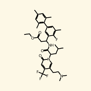 CCOC(=O)CC(NC(=O)C(CC(C)C)n1cc(CCN(C)C)c(C(F)(F)F)cc1=O)c1cc(-c2c(C)cc(C)cc2C)cc(C)c1F